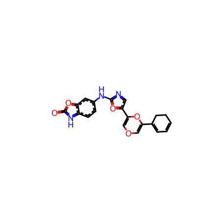 O=c1[nH]c2ccc(Nc3ncc(C4=COC=C(C5=CC=CCC5)O4)o3)cc2o1